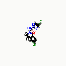 O=C(CN1C(=O)c2ccc(Br)cc2[C@H]2C[C@H]21)Nc1ncc(F)cn1